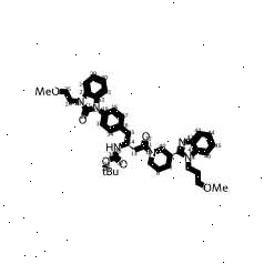 COCCCn1c([C@@H]2CCCN(C(=O)C[C@@H](Cc3ccc(-n4c(=O)n(CCOC)c5ccccc54)cc3)NC(=O)OC(C)(C)C)C2)nc2ccccc21